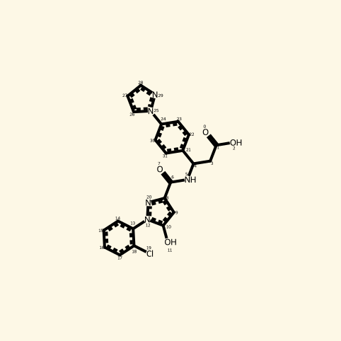 O=C(O)CC(NC(=O)c1cc(O)n(-c2ccccc2Cl)n1)c1ccc(-n2cccn2)cc1